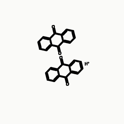 O=C1c2ccccc2C(=O)c2ccccc21.O=C1c2ccccc2C(=O)c2ccccc21.[H+]